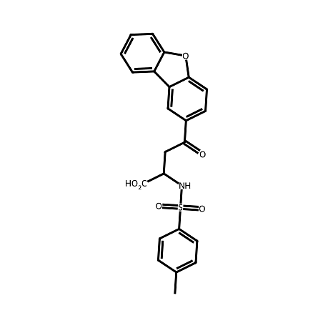 Cc1ccc(S(=O)(=O)NC(CC(=O)c2ccc3oc4ccccc4c3c2)C(=O)O)cc1